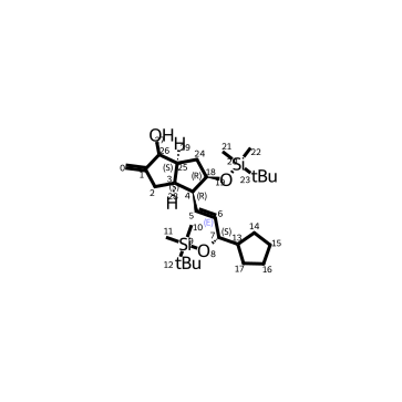 C=C1C[C@@H]2[C@H](/C=C/[C@@H](O[Si](C)(C)C(C)(C)C)C3CCCC3)[C@H](O[Si](C)(C)C(C)(C)C)C[C@@H]2C1O